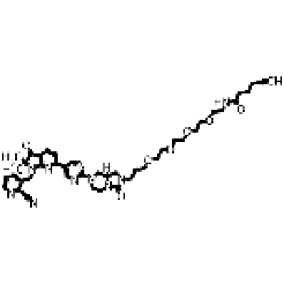 C#CCCCC(=O)NCCOCCOCCOCCOCCCN1C[C@@H]2CN(c3ncc(-c4ccc5c(n4)N(Cc4cccnc4C#N)C(C)(C)C5=O)cn3)CCN2C1=O